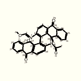 COC=Nc1ccc2c(c1-c1c(NC(C)=O)ccc3c1C(=O)c1ccccc1C3=O)C(=O)c1ccccc1C2=O